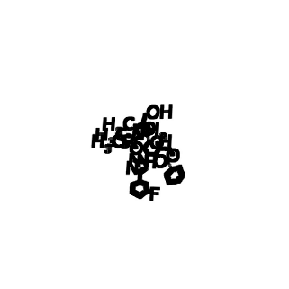 CC[Si](CC)(CC)O[C@@H]1[C@@H](n2cc(-c3cccc(F)c3)nn2)[C@H]2O[C@@H](c3ccccc3)OC[C@H]2O[C@H]1c1nc(C)c(CO)o1